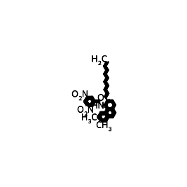 C=CCCCCCCCCC[C@H]1CCc2ccc3cc(C)c(C)cc3c2[C@H]1NC(=O)c1cc([N+](=O)[O-])cc([N+](=O)[O-])c1